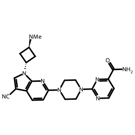 CN[C@H]1C[C@H](n2cc(C#N)c3ccc(N4CCN(c5nccc(C(N)=O)n5)CC4)nc32)C1